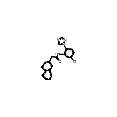 O=C(Cc1ccc2ccccc2c1)Nc1cc(Cl)ccc1-n1cncn1